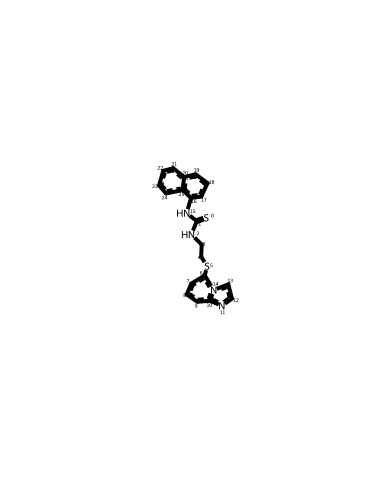 S=C(NCCSc1cccc2nccn12)Nc1cccc2ccccc12